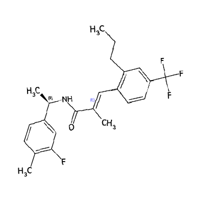 CCCc1cc(C(F)(F)F)ccc1/C=C(\C)C(=O)N[C@H](C)c1ccc(C)c(F)c1